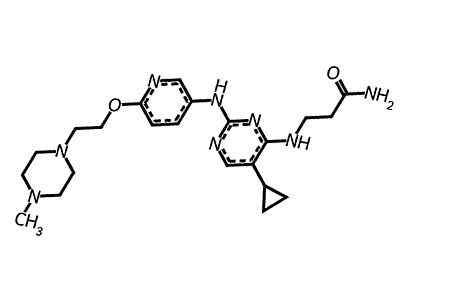 CN1CCN(CCOc2ccc(Nc3ncc(C4CC4)c(NCCC(N)=O)n3)cn2)CC1